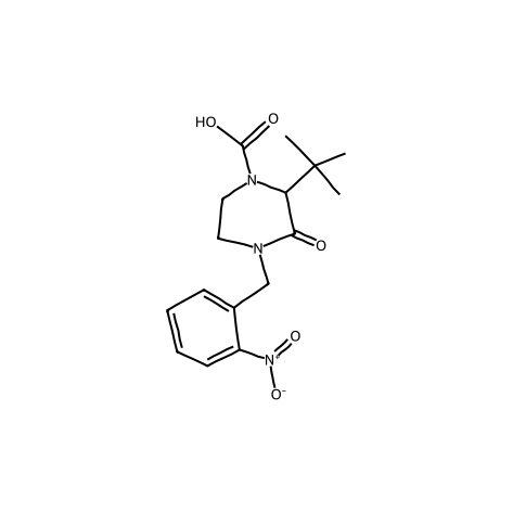 CC(C)(C)C1C(=O)N(Cc2ccccc2[N+](=O)[O-])CCN1C(=O)O